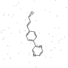 O=CC=Cc1ccc(-c2cnccn2)cc1